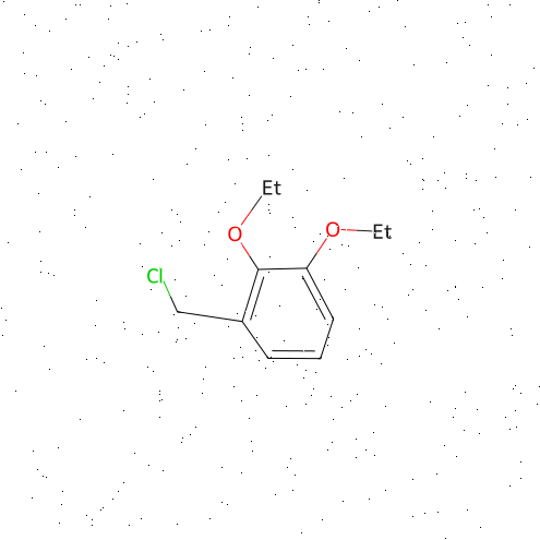 CCOc1cccc(CCl)c1OCC